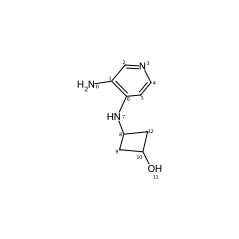 Nc1cnccc1NC1CC(O)C1